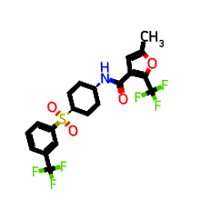 Cc1cc(C(=O)N[C@H]2CC[C@@H](S(=O)(=O)c3cccc(C(F)(F)F)c3)CC2)c(C(F)(F)F)o1